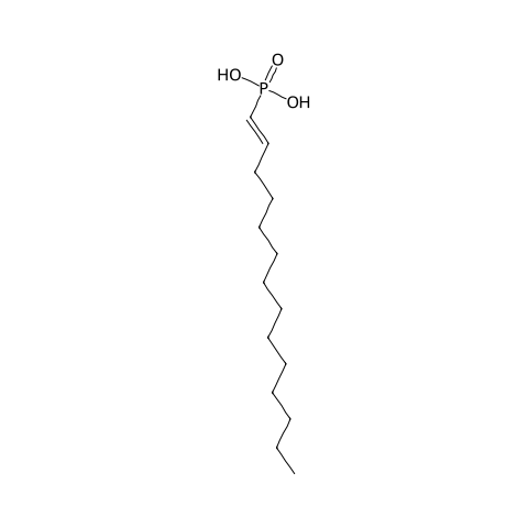 CCCCCCCCCCCCC=CP(=O)(O)O